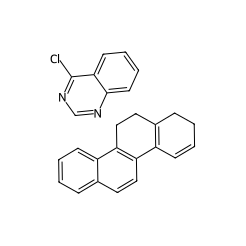 C1=CC2=C(CC1)CCc1c2ccc2ccccc12.Clc1ncnc2ccccc12